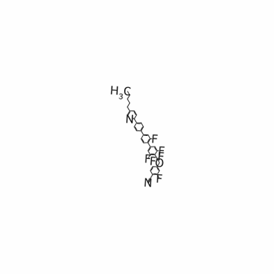 CCCCCc1ccc(-c2ccc(-c3ccc(-c4cc(F)c(C(F)(F)Oc5ccc(C#N)c(F)c5)c(F)c4)c(F)c3)cc2)nc1